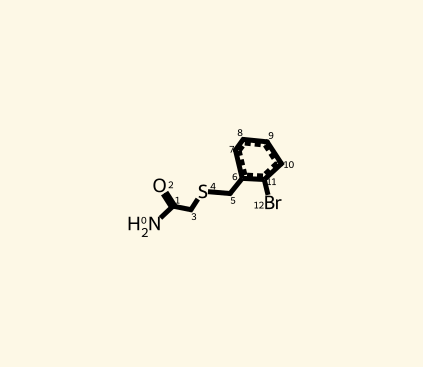 NC(=O)CSCc1ccccc1Br